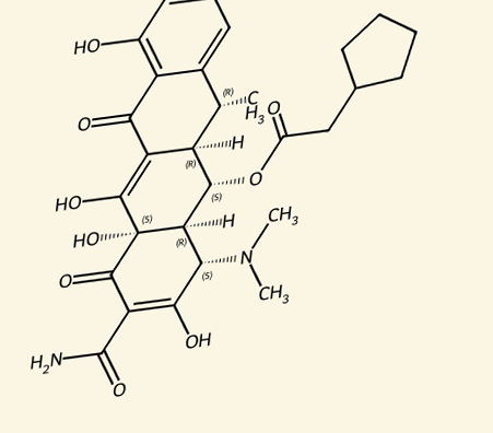 C[C@H]1c2cccc(O)c2C(=O)C2=C(O)[C@]3(O)C(=O)C(C(N)=O)=C(O)[C@@H](N(C)C)[C@@H]3[C@@H](OC(=O)CC3CCCC3)[C@@H]21